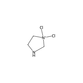 Cl[N+]1(Cl)CCNC1